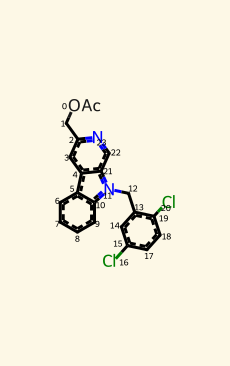 CC(=O)OCc1cc2c3ccccc3n(Cc3cc(Cl)ccc3Cl)c2cn1